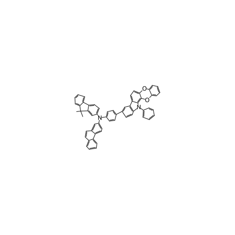 CC1(C)c2ccccc2-c2ccc(N(c3ccc(-c4ccc5c(c4)c4ccc6c(c4n5-c4ccccc4)Oc4ccccc4O6)cc3)c3ccc4c(ccc5ccccc54)c3)cc21